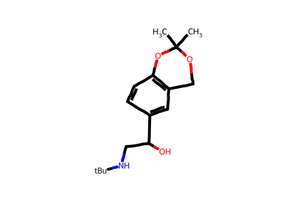 CC(C)(C)NCC(O)c1ccc2c(c1)COC(C)(C)O2